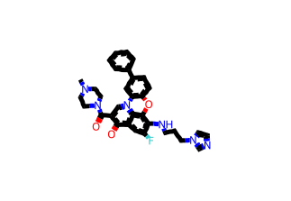 CN1CCN(C(=O)c2cn3c4c(c(NCCCn5ccnc5)c(F)cc4c2=O)Oc2ccc(-c4ccccc4)cc2-3)CC1